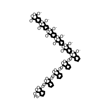 O=C([O-])c1ccccc1C(=O)[O-].O=C([O-])c1ccccc1C(=O)[O-].O=C([O-])c1ccccc1C(=O)[O-].O=C([O-])c1ccccc1C(=O)[O-].O=C([O-])c1ccccc1C(=O)[O-].O=C([O-])c1ccccc1C(=O)[O-].O=C([O-])c1ccccc1C(=O)[O-].O=C([O-])c1ccccc1C(=O)[O-].O=C([O-])c1ccccc1C(=O)[O-].O=C([O-])c1ccccc1C(=O)[O-].[Pb+2]